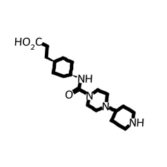 O=C(O)CC[C@H]1CC[C@H](NC(=O)N2CCN(C3CCNCC3)CC2)CC1